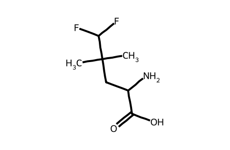 CC(C)(CC(N)C(=O)O)C(F)F